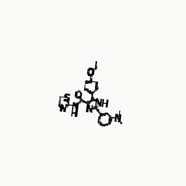 CCOc1ccc(-c2[nH]c(-c3cccc(N(C)C)c3)nc2C(=O)Nc2nccs2)cc1